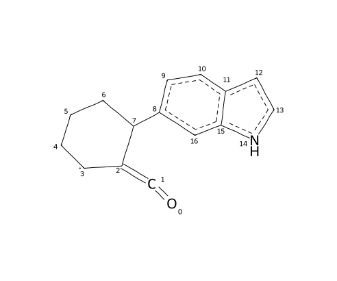 O=C=C1[CH]CCCC1c1ccc2cc[nH]c2c1